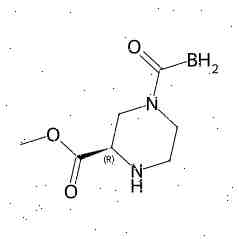 BC(=O)N1CCN[C@@H](C(=O)OC)C1